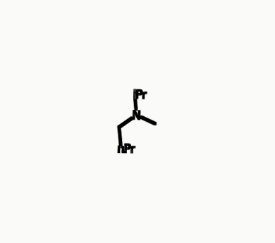 CCCCN(C)C(C)C